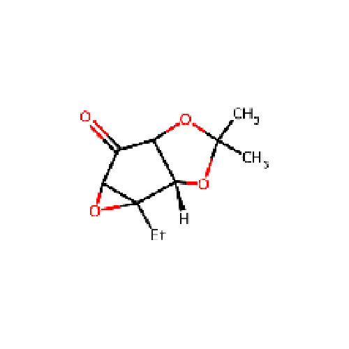 CCC12OC1C(=O)C1OC(C)(C)O[C@@H]12